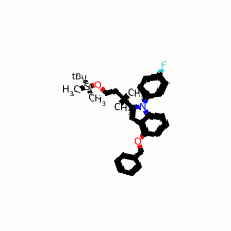 CC(C)(CCO[Si](C)(C)C(C)(C)C)c1cc2c(OCc3ccccc3)cccc2n1-c1ccc(F)cc1